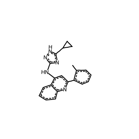 Cc1ccccc1-c1cc(Nc2n[nH]c(C3CC3)n2)c2ccccc2n1